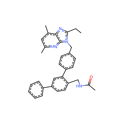 CCc1nc2c(C)cc(C)nc2n1Cc1ccc(-c2cc(-c3ccccc3)ccc2CNC(C)=O)cc1